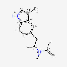 C=C(C)N(C)C(C)Cc1ccc2[nH]cc(CC)c2c1